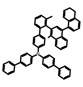 Cc1cccc(-c2ccc(N(c3ccc(-c4ccccc4)cc3)c3ccc(-c4ccccc4)cc3)cc2)c1-c1cc(-c2cccc3c2C=CCC3)c2ccccc2c1C